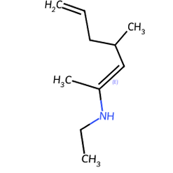 C=CCC(C)/C=C(\C)NCC